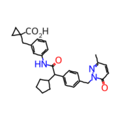 Cc1ccc(=O)n(Cc2ccc(C(C(=O)Nc3cccc(CC4(C(=O)O)CC4)c3)C3CCCC3)cc2)n1